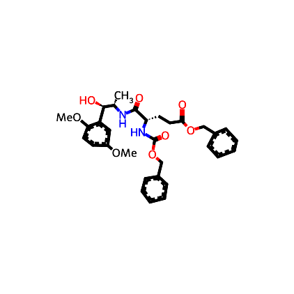 COc1ccc(OC)c([C@@H](O)[C@H](C)NC(=O)[C@H](CCC(=O)OCc2ccccc2)NC(=O)OCc2ccccc2)c1